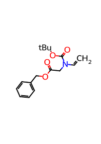 C=CN(CC(=O)OCc1ccccc1)C(=O)OC(C)(C)C